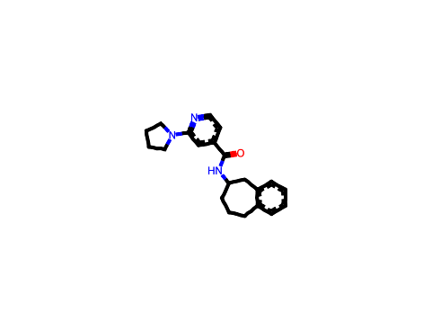 O=C(NC1CCCc2ccccc2C1)c1ccnc(N2CCCC2)c1